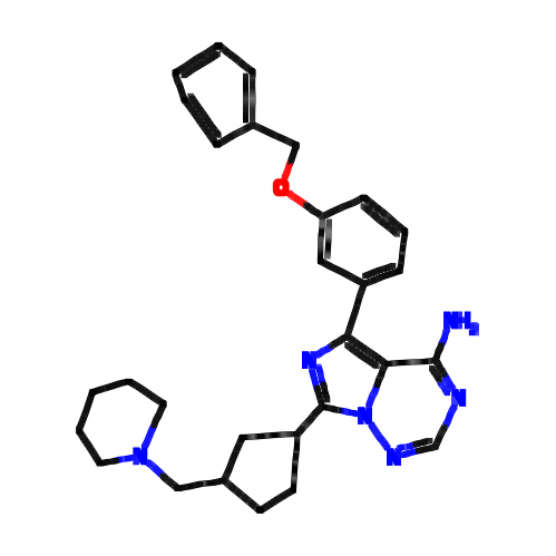 Nc1ncnn2c(C3CCC(CN4CCCCC4)C3)nc(-c3cccc(OCc4ccccc4)c3)c12